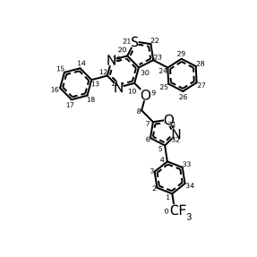 FC(F)(F)c1ccc(-c2cc(COc3nc(-c4ccccc4)nc4scc(-c5ccccc5)c34)on2)cc1